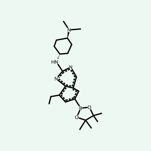 CCc1cc(B2OC(C)(C)C(C)(C)O2)cc2cnc(N[C@H]3CC[C@H](N(C)C)CC3)nc12